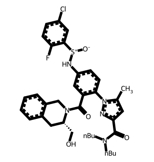 CCCCN(CCCC)C(=O)c1cc(C)n(-c2ccc(N[S+]([O-])c3cc(Cl)ccc3F)cc2C(=O)N2Cc3ccccc3C[C@H]2CO)n1